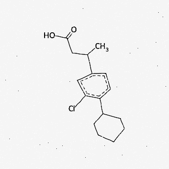 CC(CC(=O)O)c1ccc(C2CCCCC2)c(Cl)c1